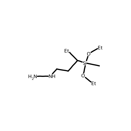 CCO[Si](C)(OCC)C(CC)CCNN